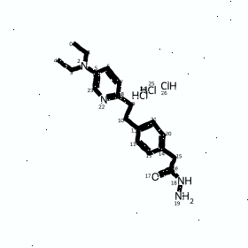 CCN(CC)c1ccc(CCc2ccc(CC(=O)NN)cc2)nc1.Cl.Cl.Cl